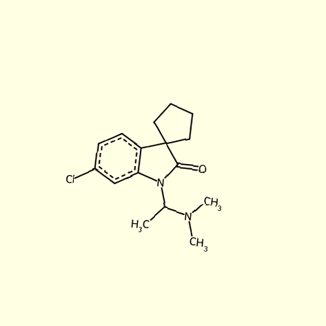 CC(N(C)C)N1C(=O)C2(CCCC2)c2ccc(Cl)cc21